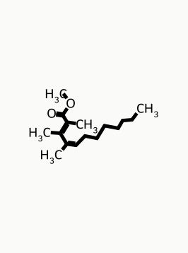 CCCCCCCC=C(C)C(C)=C(C)C(=O)OC